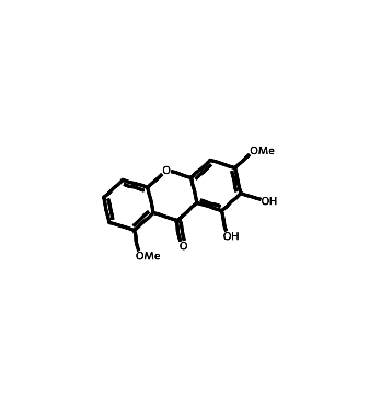 COc1cc2oc3cccc(OC)c3c(=O)c2c(O)c1O